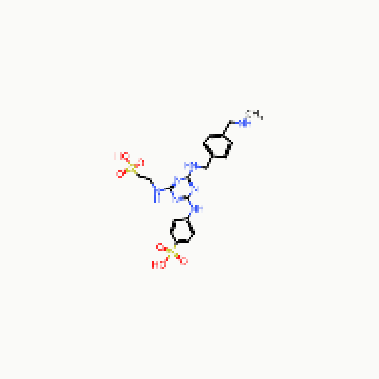 CNCc1ccc(CNc2nc(NCCS(=O)(=O)O)nc(Nc3ccc(S(=O)(=O)O)cc3)n2)cc1